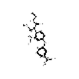 CCOC(=O)C(C(=O)O)c1ccc(Nc2cccc([N+](=O)[O-])c2)cc1[N+](=O)[O-]